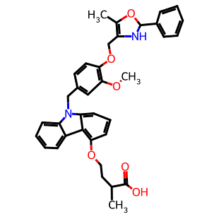 COc1cc(Cn2c3ccccc3c3c(OCCC(C)C(=O)O)cccc32)ccc1OCC1=C(C)OC(c2ccccc2)N1